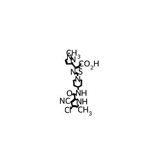 Cc1[nH]c(C(=O)NC2CCN(c3nc(-c4ccn(C)n4)c(C(=O)O)s3)CC2)c(C#N)c1Cl